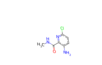 CNC(=O)c1nc(Cl)ccc1N